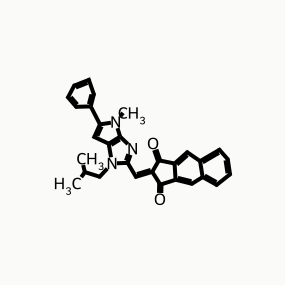 CC(C)Cn1c(C=C2C(=O)c3cc4ccccc4cc3C2=O)nc2c1cc(-c1ccccc1)n2C